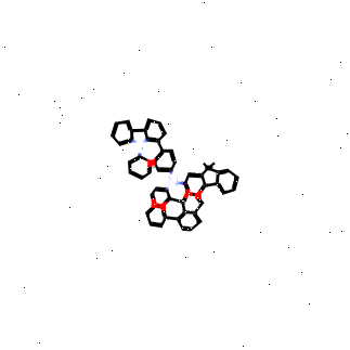 CC1(C)c2ccccc2-c2ccc(N(c3ccc(-c4cccc5c6ccccc6n(-c6ccccc6)c45)cc3)c3ccccc3-c3cccc4cccc(-c5ccccc5)c34)cc21